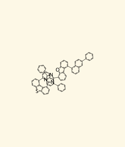 c1ccc(-c2ccc3c(-c4cccc5oc6c(-c7nc(-c8ccccc8)nc(-c8cccc9sc%10cccc(-c%11cccc%12cc(-c%13ccccc%13)ccc%11%12)c%10c89)n7)cccc6c45)cccc3c2)cc1